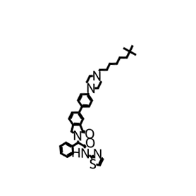 CC(C)(C)CCCCCCN1CCN(c2ccc(-c3ccc4c(c3)C(=O)N(C(C(=O)Nc3nccs3)c3ccccc3)C4)cc2)CC1